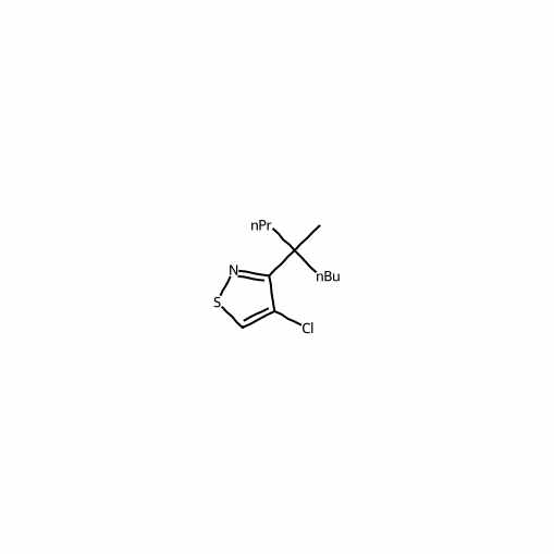 CCCCC(C)(CCC)c1nscc1Cl